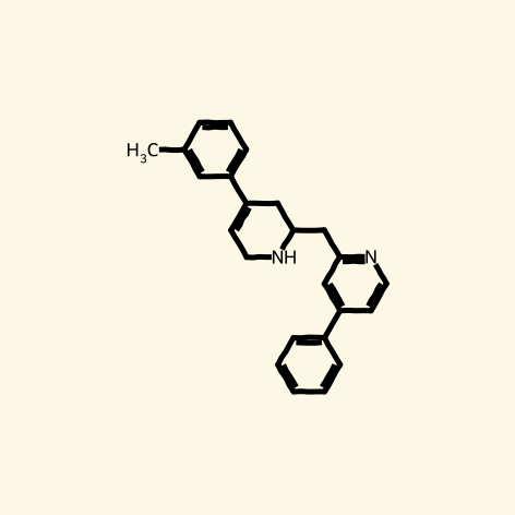 Cc1cccc(C2=CCNC(Cc3cc(-c4ccccc4)ccn3)C2)c1